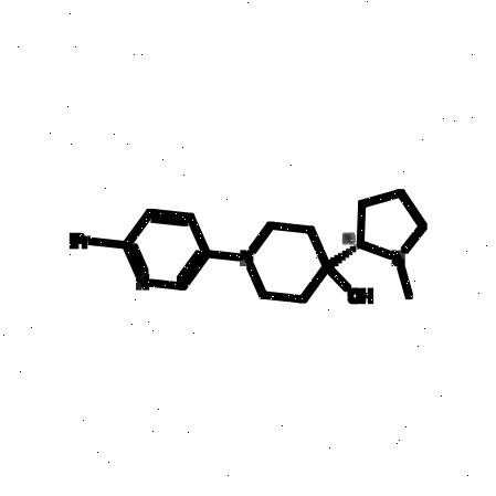 CC(C)c1ccc(N2CCC(O)([C@@H]3CCCN3C)CC2)cn1